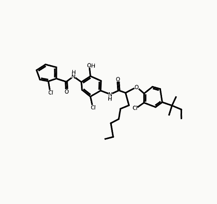 CCCCCCC(Oc1ccc(C(C)(C)CC)cc1Cl)C(=O)Nc1cc(O)c(NC(=O)c2ccccc2Cl)cc1Cl